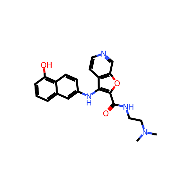 CN(C)CCNC(=O)c1oc2cnccc2c1Nc1ccc2c(O)cccc2c1